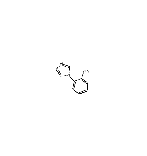 Nc1ccccc1-n1ccnc1